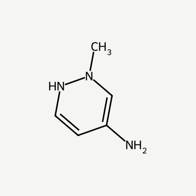 CN1C=C(N)C=CN1